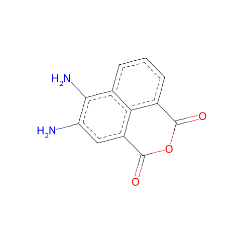 Nc1cc2c3c(cccc3c1N)C(=O)OC2=O